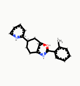 Cc1ccccc1-c1nc2c(o1)CC(c1ccccn1)CC2